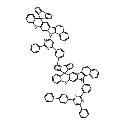 c1ccc(-c2ccc(-c3nc(-c4ccccc4)nc(-c4cccc(-n5c6cc7c(cc6c6ccc8ccccc8c65)C5(c6ccccc6S7)c6ccccc6-c6c(-c7cccc(-c8cc(-n9c%10cc%11c(cc%10c%10ccc%12ccccc%12c%109)C9(c%10ccccc%10S%11)c%10ccccc%10-c%10ccccc%109)nc(-c9ccccc9)n8)c7)cccc65)c4)n3)cc2)cc1